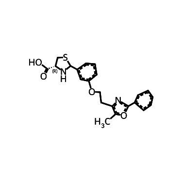 Cc1oc(-c2ccccc2)nc1CCOc1cccc(C2N[C@H](C(=O)O)CS2)c1